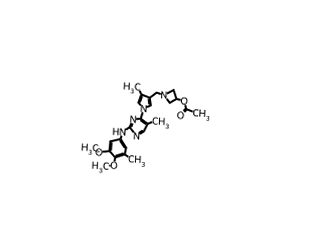 COc1cc(Nc2ncc(C)c(-n3cc(C)c(CN4CC(OC(C)=O)C4)c3)n2)cc(C)c1OC